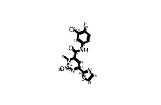 CN1C(C(=O)Nc2ccc(F)c(Cl)c2)=CC(c2nccs2)=N[S+]1[O-]